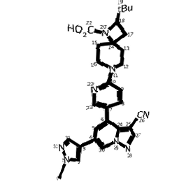 Cn1cc(-c2cc(-c3ccc(N4CCC5(CC4)CC(C(C)(C)C)N5C(=O)O)nc3)c3c(C#N)cnn3c2)cn1